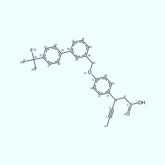 CC#CC(CS(=O)O)c1ccc(OCc2cccc(-c3ccc(C(F)(F)F)cc3)c2)cc1